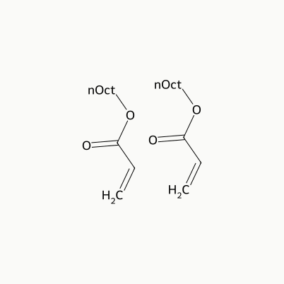 C=CC(=O)OCCCCCCCC.C=CC(=O)OCCCCCCCC